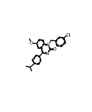 COc1ccc2c(c1)c(-c1ccc(C(C)C)cc1)nc(=O)n2Cc1cccc(Cl)c1